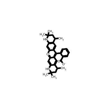 CC1CC(C)(C)Nc2cc3[o+]c4cc5c(cc4c(-c4ccccc4C(=O)[O-])c3cc21)C(C)CC(C)(C)N5